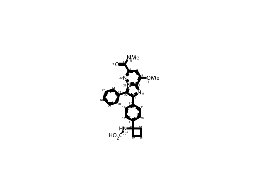 CNC(=O)c1cc(OC)c2nc(-c3ccc(C4(NC(=O)O)CCC4)cc3)c(-c3ccccc3)n2n1